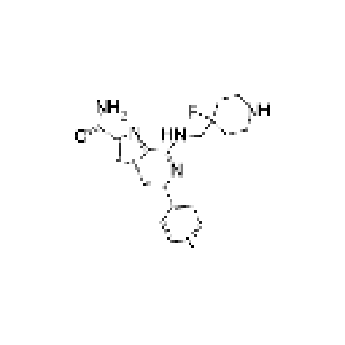 NC(=O)c1cn2cc(-c3ccncc3)nc(NCC3(F)CCNCC3)c2n1